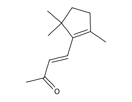 CC(=O)C=CC1=C(C)CCC1(C)C